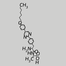 CCCCCCCOc1ccc(-c2cnc(-c3ccc(C[C@H](N)C(=O)N[C@H](C)C(=O)O)cc3)nc2)cc1